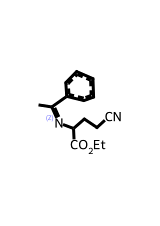 CCOC(=O)C(CCC#N)/N=C(/C)c1ccccc1